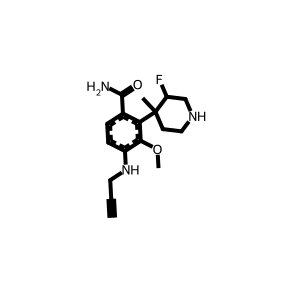 C#CCNc1ccc(C(N)=O)c(C2(C)CCNCC2F)c1OC